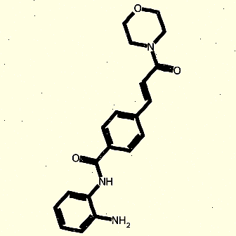 Nc1ccccc1NC(=O)c1ccc(/C=C/C(=O)N2CCOCC2)cc1